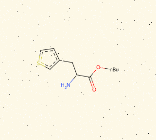 CCCCOC(=O)C(N)Cc1ccsc1